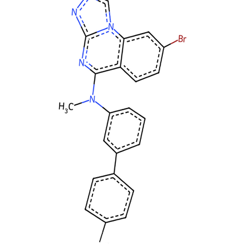 COc1ccc(-c2cccc(N(C)c3nc4nncn4c4cc(Br)ccc34)c2)cc1